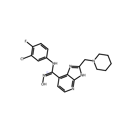 O/N=C(/Nc1ccc(F)c(Cl)c1)c1ccnc2[nH]c(CN3CCCCC3)nc12